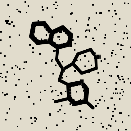 Cc1cnc(CN(Cc2nccc3ccccc23)C2CCNCC2)c(C)c1